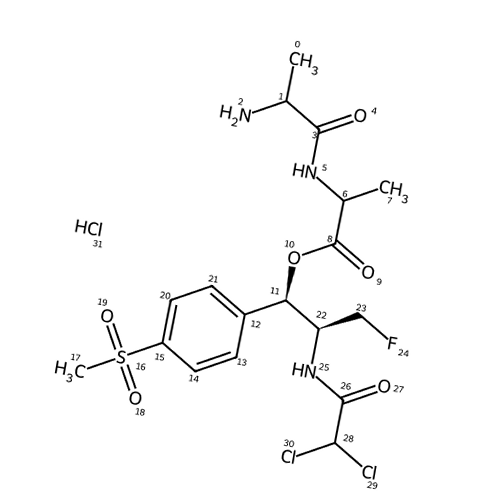 CC(N)C(=O)NC(C)C(=O)O[C@H](c1ccc(S(C)(=O)=O)cc1)[C@@H](CF)NC(=O)C(Cl)Cl.Cl